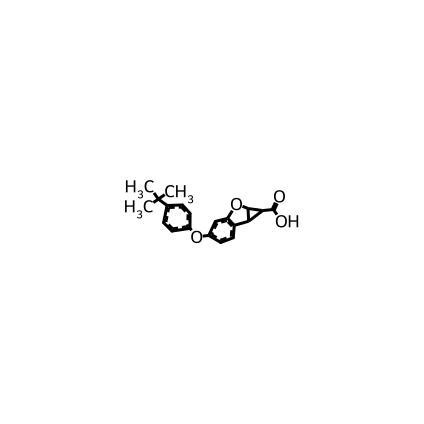 CC(C)(C)c1ccc(Oc2ccc3c(c2)OC2C(C(=O)O)C32)cc1